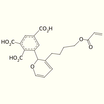 C=CC(=O)OCCCCC1=CC=COC1c1cc(C(=O)O)cc(C(=O)O)c1C(=O)O